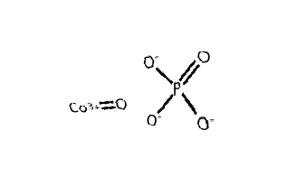 O=P([O-])([O-])[O-].[O]=[Co+3]